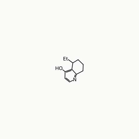 CCC1CCCc2nccc(O)c21